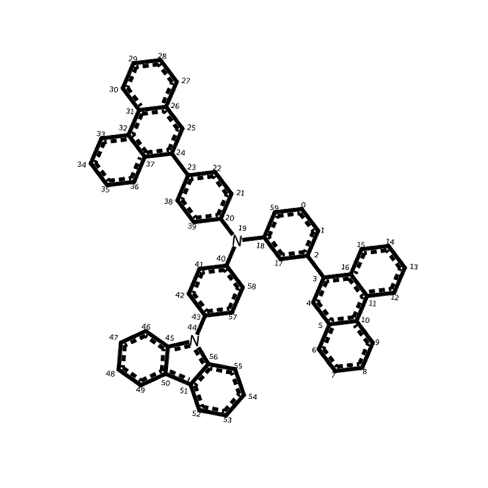 c1cc(-c2cc3ccccc3c3ccccc23)cc(N(c2ccc(-c3cc4ccccc4c4ccccc34)cc2)c2ccc(-n3c4ccccc4c4ccccc43)cc2)c1